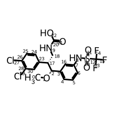 CO[C@@H](c1cccc(NS(=O)(=O)C(F)(F)F)c1)[C@@H](CNC(=O)O)c1ccc(Cl)c(Cl)c1